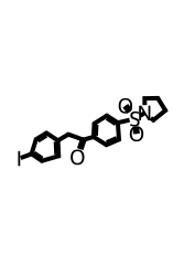 O=C(Cc1ccc(I)cc1)c1ccc(S(=O)(=O)N2CCCC2)cc1